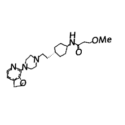 COCCC(=O)N[C@H]1CC[C@H](CCN2CCN(c3nccc4c3OCC4)CC2)CC1